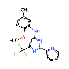 COc1ccc(C)cc1Nc1cc(C(F)(F)F)nc(-c2ccccn2)n1